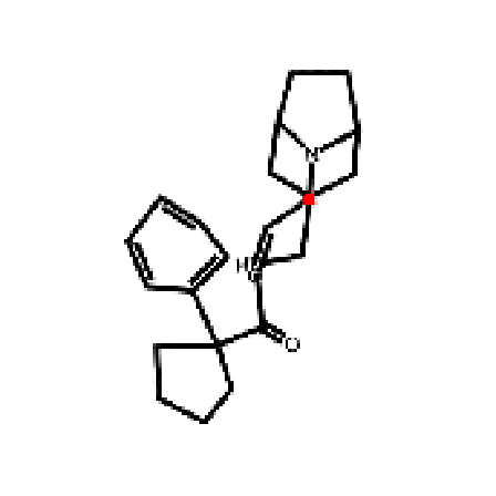 O=CCN1C2CCC1CC(CNC(=O)C1(c3ccccc3)CCCC1)C2